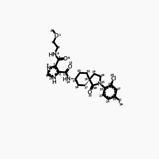 COCCNC(=O)c1nc[nH]c1C(=O)N[C@H]1CC[C@@]2(CCN(c3ccc(F)cc3Cl)C2=O)CC1